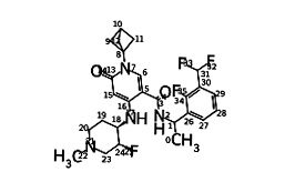 CC(NC(=O)c1cn(C23CC(C2)C3)c(=O)cc1N[C@@H]1CCN(C)C[C@@H]1F)c1cccc(C(F)F)c1F